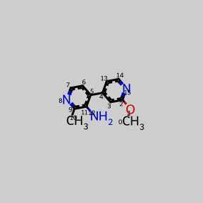 COc1cc(-c2ccnc(C)c2N)ccn1